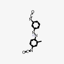 Cc1cc(N=C=O)ccc1/N=N/c1cccc(N=C=O)c1